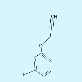 C#CCOc1cc[c]c(F)c1